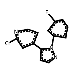 Fc1cccc(-n2nccc2-c2ccnc(Cl)c2)c1